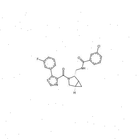 O=C(NC[C@@H]1C2C[C@H]2CN1C(=O)c1ncsc1-c1cccc(F)c1)c1cccc(Cl)c1